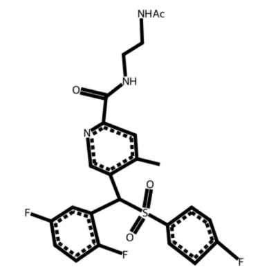 CC(=O)NCCNC(=O)c1cc(C)c(C(c2cc(F)ccc2F)S(=O)(=O)c2ccc(F)cc2)cn1